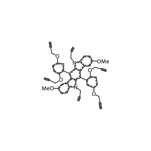 C#CCOc1ccc(OCC#C)c(-c2c3c4cc(OC)ccc4n(CC#C)c3c(-c3cc(OCC#C)ccc3OCC#C)c3c4cc(OC)ccc4n(CC#C)c23)c1